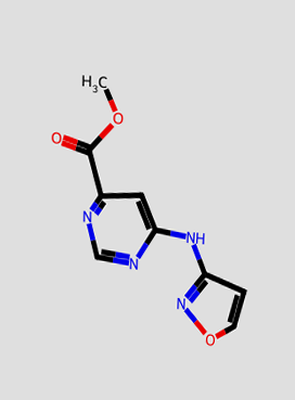 COC(=O)c1cc(Nc2ccon2)ncn1